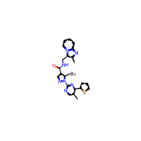 CCCCc1c(C(=O)NCc2c(C)nc3ccccn23)cnn1-c1ncc(C)c(-c2cccs2)n1